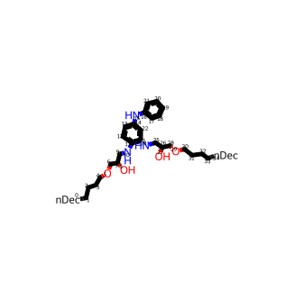 CCCCCCCCCCCCCCOCC(O)CNc1ccc(Nc2ccccc2)cc1NCC(O)COCCCCCCCCCCCCCC